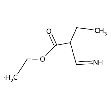 [CH2]COC(=O)C(C=N)CC